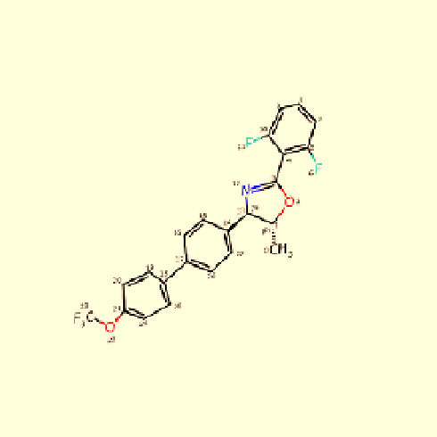 C[C@H]1OC(c2c(F)cccc2F)=N[C@@H]1c1ccc(-c2ccc(OC(F)(F)F)cc2)cc1